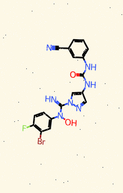 N#Cc1cccc(NC(=O)Nc2cnn(C(=N)N(O)c3ccc(F)c(Br)c3)c2)c1